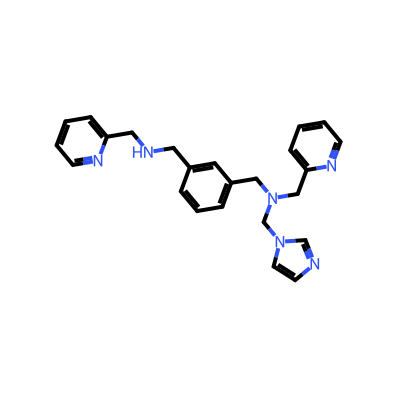 c1ccc(CNCc2cccc(CN(Cc3ccccn3)Cn3ccnc3)c2)nc1